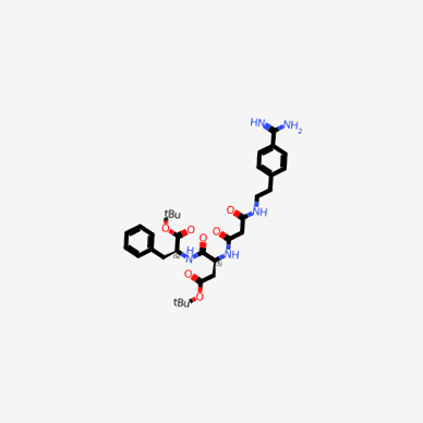 CC(C)(C)OC(=O)C[C@H](NC(=O)CC(=O)NCCc1ccc(C(=N)N)cc1)C(=O)N[C@@H](Cc1ccccc1)C(=O)OC(C)(C)C